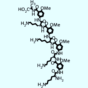 COc1ccc(NC(=O)[C@H](CCCCN)NC(=O)c2cc(NC(=O)[C@@H](N)CCCCN)ccc2OC)cc1C(=O)NC(CCCCN)C(=O)Nc1ccc(OC)c(C(=O)N[C@@H](CCCCN)C(=O)Nc2ccc(OC)c(C(=O)N[C@@H](C)C(=O)O)c2)c1